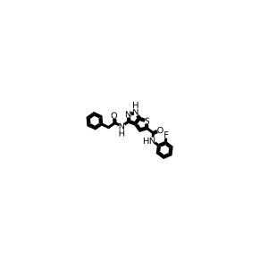 O=C(Cc1ccccc1)Nc1n[nH]c2sc(C(=O)Nc3ccccc3F)cc12